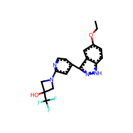 CCOc1ccc2[nH]nc(-c3ccnc(N4CC(O)(C(F)(F)F)C4)c3)c2c1